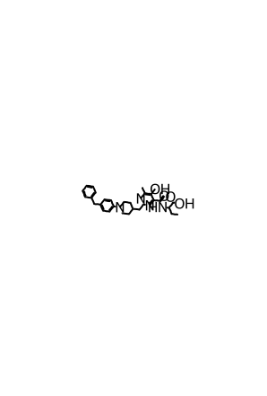 CCC(NC(=O)c1nc(CC2CCN(c3ccc(Cc4ccccc4)cc3)CC2)nc(C)c1O)C(=O)O